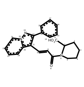 O=C(O)C1CCCCN1C(=O)C=Cc1c(-c2ccccc2)nn2ccccc12